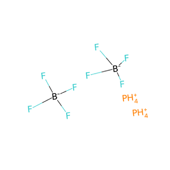 F[B-](F)(F)F.F[B-](F)(F)F.[PH4+].[PH4+]